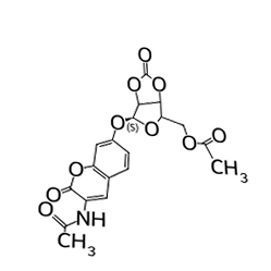 CC(=O)Nc1cc2ccc(O[C@@H]3OC(COC(C)=O)C4OC(=O)OC43)cc2oc1=O